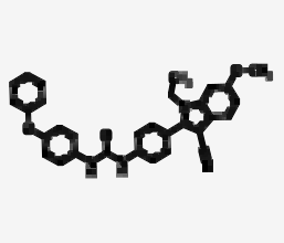 CCn1c(-c2ccc(NC(=O)Nc3ccc(Oc4ccccc4)cc3)cc2)c(C#N)c2ccc(OC)cc21